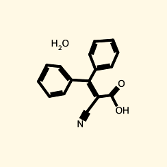 N#CC(C(=O)O)=C(c1ccccc1)c1ccccc1.O